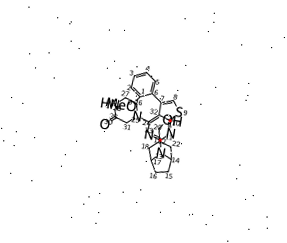 COc1ccccc1-c1csc2nc(N3C4CCC3CC(CO)C4)nc(N3CCNC(=O)C3)c12